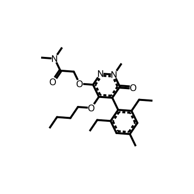 CCCCOc1c(OCC(=O)N(C)C)nn(C)c(=O)c1-c1c(CC)cc(C)cc1CC